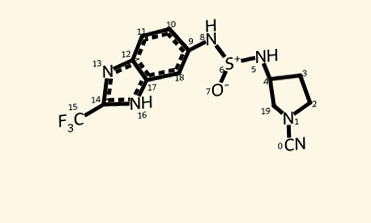 N#CN1CCC(N[S+]([O-])Nc2ccc3nc(C(F)(F)F)[nH]c3c2)C1